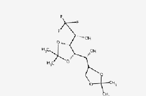 CC1(C)OCC([C@@H](O)[C@@H]2OC(C)(C)O[C@@H]2[C@@H](O)C(F)(F)F)O1